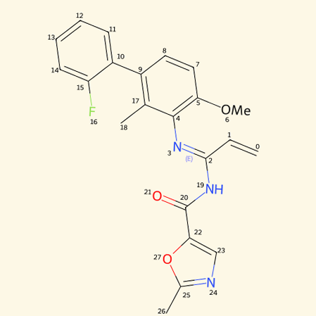 C=C/C(=N\c1c(OC)ccc(-c2ccccc2F)c1C)NC(=O)c1cnc(C)o1